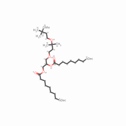 CCCCCCCCCCCCCCCCCC(=O)OCC(COCCC(C)(C)OCCC(C)(C)OC)OC(=O)CCCCCCCCCCCCCCCCC